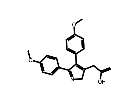 C=C(O)CC1=C(c2ccc(OC)cc2)C(c2ccc(OC)cc2)=NC1